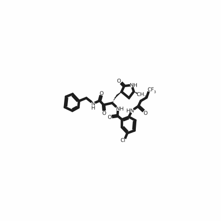 C[C@@H]1C[C@@H](C[C@H](NC(=O)c2cc(Cl)ccc2NC(=O)CCC(F)(F)F)C(=O)C(=O)NCc2ccccc2)C(=O)N1